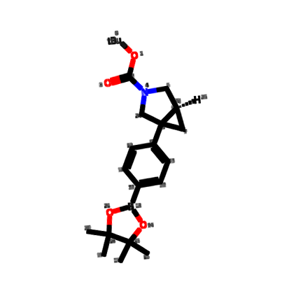 CC(C)(C)OC(=O)N1C[C@H]2CC2(c2ccc(B3OC(C)(C)C(C)(C)O3)cc2)C1